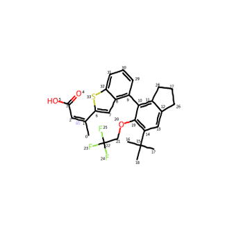 C/C(=C/C(=O)O)c1cc2c(-c3c4c(cc(C(C)(C)C)c3OCC(F)(F)F)CCC4)cccc2s1